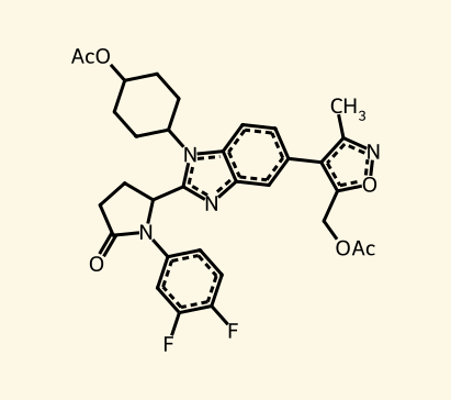 CC(=O)OCc1onc(C)c1-c1ccc2c(c1)nc(C1CCC(=O)N1c1ccc(F)c(F)c1)n2C1CCC(OC(C)=O)CC1